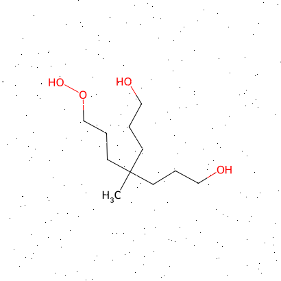 CC(CCCO)(CCCO)CCCOO